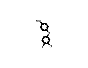 CC(C)(C)c1ccc(Oc2ccc(F)c(Cl)c2)cc1